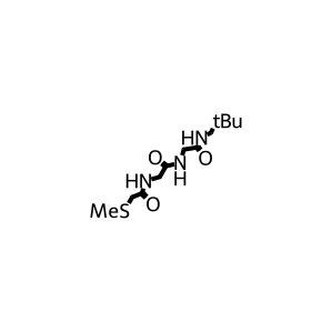 CSCC(=O)NCC(=O)NCC(=O)NCC(C)(C)C